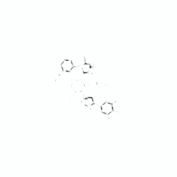 CO[C@@H]1[C@@H](n2cc(-c3cc(F)c(Cl)c(F)c3)nn2)[C@@H](O)[C@@H](CO)O[C@H]1c1nnc(C)n1-c1cc(Cl)ccc1C(F)(F)F